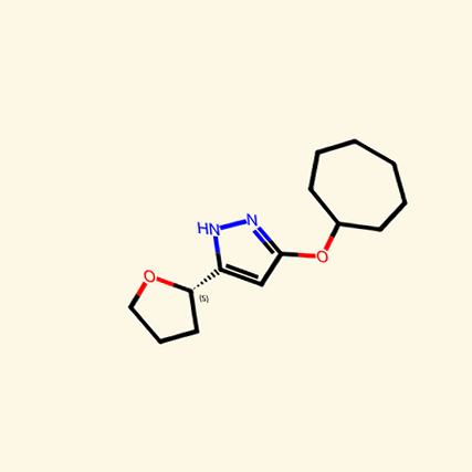 c1c(OC2CCCCCC2)n[nH]c1[C@@H]1CCCO1